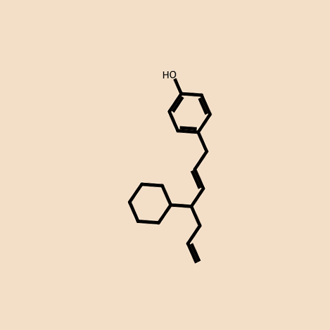 C=CCC(C=CCc1ccc(O)cc1)C1CCCCC1